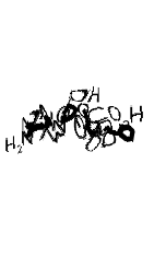 Nc1ncnc2c1ncn2[C@@H]1O[C@H](CO)[C@@H](OC(CC(=O)OC(=O)c2ccccc2)C(=O)O)[C@H]1O